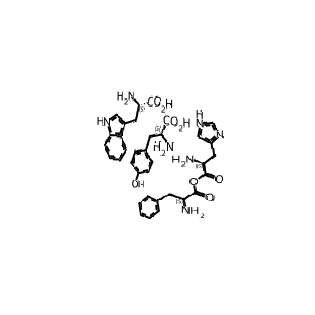 N[C@@H](Cc1c[nH]c2ccccc12)C(=O)O.N[C@@H](Cc1ccc(O)cc1)C(=O)O.N[C@@H](Cc1ccccc1)C(=O)OC(=O)[C@@H](N)Cc1c[nH]cn1